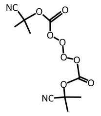 CC(C)(C#N)OC(=O)OOOOC(=O)OC(C)(C)C#N